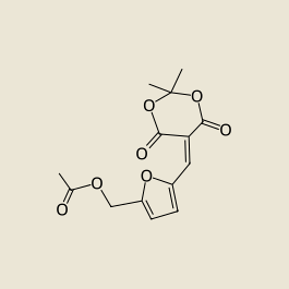 CC(=O)OCc1ccc(C=C2C(=O)OC(C)(C)OC2=O)o1